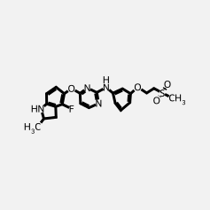 CC1Cc2c(ccc(Oc3ccnc(Nc4cccc(OCCS(C)(=O)=O)c4)n3)c2F)N1